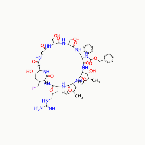 CC(C)C[C@@H]1NC(=O)[C@H]([C@H](O)C(C)C)NC(=O)[C@@H](NC(=O)OCc2ccccc2)[C@@H](c2ccccc2)NC(=O)C(CO)NC(=O)[C@H](CO)NC(=O)CNC(=O)[C@H]2NC(=O)[C@@H](NC(=O)[C@@H](CCCNC(=N)N)NC1=O)C(CI)C[C@@H]2O